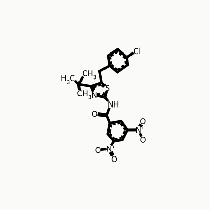 CC(C)(C)c1nc(NC(=O)c2cc([N+](=O)[O-])cc([N+](=O)[O-])c2)sc1Cc1ccc(Cl)cc1